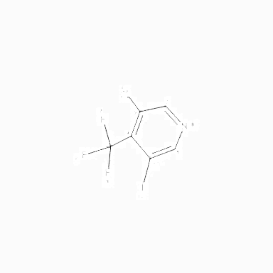 FC(F)(F)c1c(Cl)cncc1I